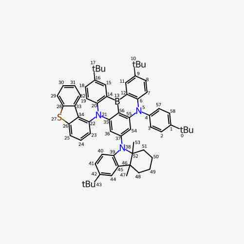 CC(C)(C)c1ccc(N2c3ccc(C(C)(C)C)cc3B3c4cc(C(C)(C)C)ccc4N(c4cccc5sc6ccccc6c45)c4cc(N5c6ccc(C(C)(C)C)cc6C6(C)CCCCC56C)cc2c43)cc1